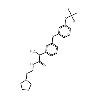 CC(C(=O)NCCN1CCCC1)c1cccc(Oc2cccc(OC(F)(F)F)c2)c1